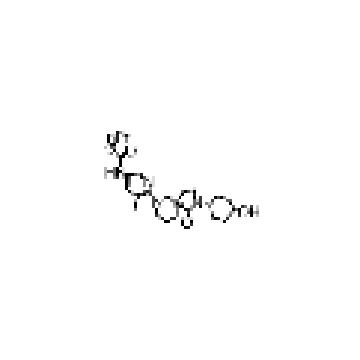 CCCOC(=O)Nc1cnc(N2CCC[C@@]3(CCN([C@H]4CC[C@H](O)CC4)C3=O)C2)c(C)c1